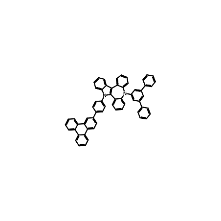 c1ccc(-c2cc(-c3ccccc3)cc(N3c4ccccc4-c4c(n(-c5ccc(-c6ccc7c8ccccc8c8ccccc8c7c6)cc5)c5ccccc45)-c4ccccc43)c2)cc1